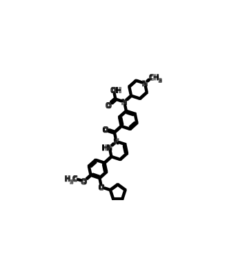 COc1ccc(C2CC=CN(C(=O)c3cccc(N(C(=O)O)C4CCN(C)CC4)c3)N2)cc1OC1CCCC1